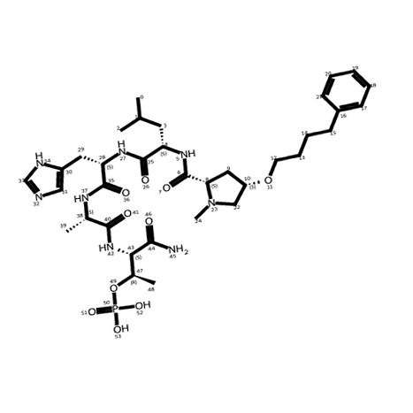 CC(C)C[C@H](NC(=O)[C@@H]1C[C@H](OCCCCc2ccccc2)CN1C)C(=O)N[C@@H](Cc1cnc[nH]1)C(=O)N[C@@H](C)C(=O)N[C@H](C(N)=O)[C@@H](C)OP(=O)(O)O